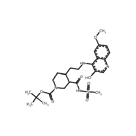 COc1ccc2ncc(O)c(NCCC3CCN(C(=O)OC(C)(C)C)CC3C(=O)NS(C)(=O)=O)c2c1